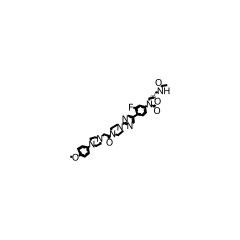 COc1ccc(N2CCN(CC(=O)N3CCN(c4ncc(-c5ccc(N6C[C@H](CNC(C)=O)OC6=O)cc5F)cn4)CC3)CC2)cc1